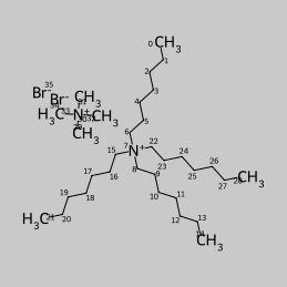 CCCCCCC[N+](CCCCCCC)(CCCCCCC)CCCCCCC.C[N+](C)(C)C.[Br-].[Br-]